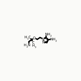 CC(C)(CN)OCCn1ncc(N)c1N